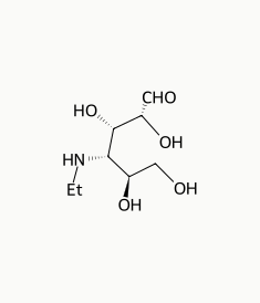 CCN[C@H]([C@H](O)[C@@H](O)C=O)[C@H](O)CO